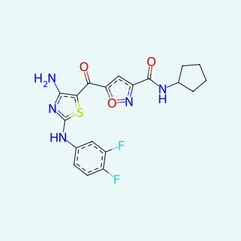 Nc1nc(Nc2ccc(F)c(F)c2)sc1C(=O)c1cc(C(=O)NC2CCCC2)no1